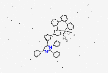 CC1(C)c2ccccc2-c2ccccc2-c2ccccc2-c2cc(-c3cccc(-c4cc(-c5ccccc5)nc(-c5ccccc5-c5ccccc5)n4)c3)ccc21